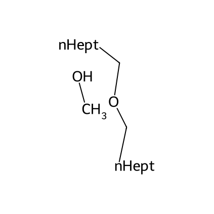 CCCCCCCCOCCCCCCCC.CO